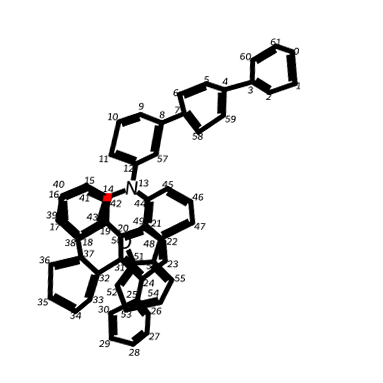 c1ccc(-c2ccc(-c3cccc(N(c4ccccc4-c4cccc(-c5ccccc5)c4-c4ccccc4-c4ccccc4)c4cccc5c4oc4ccccc45)c3)cc2)cc1